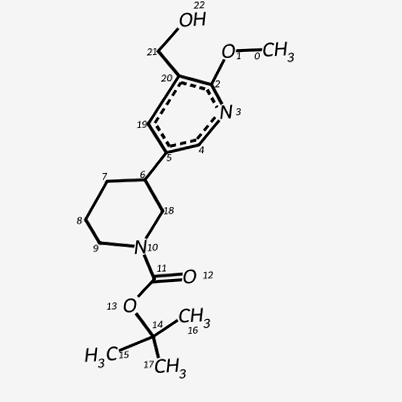 COc1ncc(C2CCCN(C(=O)OC(C)(C)C)C2)cc1CO